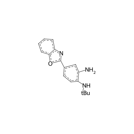 CC(C)(C)Nc1ccc(-c2nc3ccccc3o2)cc1N